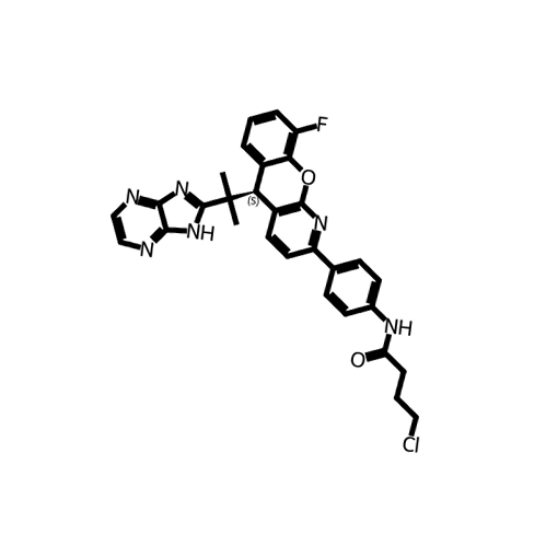 CC(C)(c1nc2nccnc2[nH]1)[C@@H]1c2ccc(-c3ccc(NC(=O)CCCCl)cc3)nc2Oc2c(F)cccc21